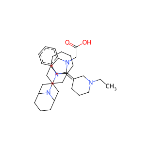 CCN1CCC/C(=C2/N(CC(=O)O)c3ccccc3N2C2CC3CCCC(C2)N3C2CC3CCCCC(C3)C2)C1